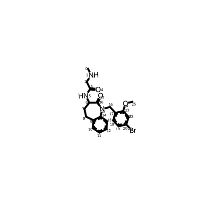 CNCC(=O)NC1CCc2ccccc2N(Cc2ccc(Br)cc2OC)C1=O